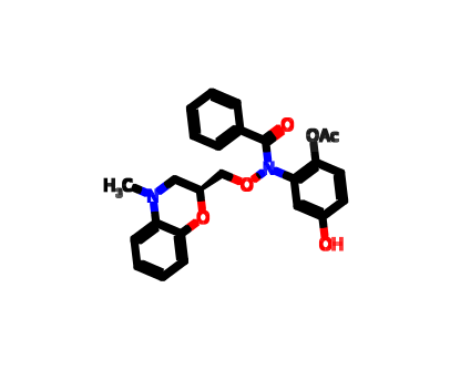 CC(=O)Oc1ccc(O)cc1N(OC[C@@H]1CN(C)c2ccccc2O1)C(=O)c1ccccc1